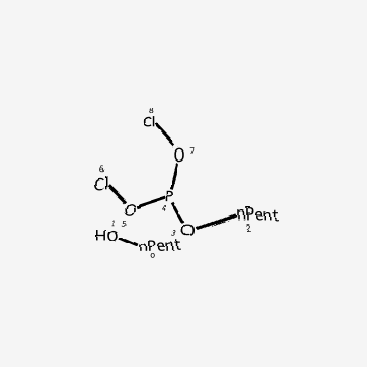 CCCCCO.CCCCCOP(OCl)OCl